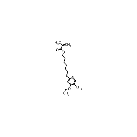 C=C(C)C(=O)OCCCCCCSc1ncc(C)c(OCC)n1